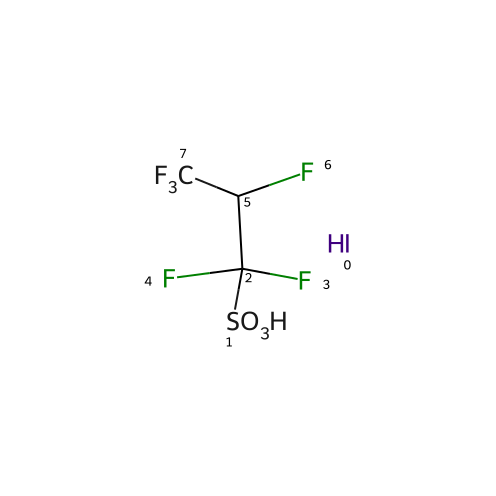 I.O=S(=O)(O)C(F)(F)C(F)C(F)(F)F